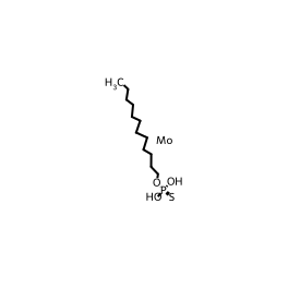 CCCCCCCCCCCCOP(O)(O)=S.[Mo]